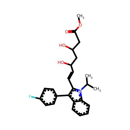 COC(=O)CC(O)CC(O)/C=C/c1c(-c2ccc(F)cc2)c2ccccc2n1C(C)C